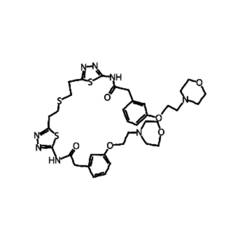 O=C(Cc1cccc(OCCN2CCOCC2)c1)Nc1nnc(CCSCCc2nnc(NC(=O)Cc3cccc(OCCN4CCOCC4)c3)s2)s1